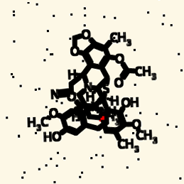 COc1cc2c(cc1O)CCNC21CSC2c3c(OC(C)=O)c(C)c4c(c3[C@H](COC1=O)N1[C@@H](C#N)[C@@H]3Cc5cc(C)c(OC)c(O)c5[C@H]([C@H]21)N3C)OCO4